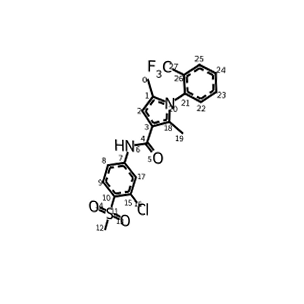 Cc1cc(C(=O)Nc2ccc(S(C)(=O)=O)c(Cl)c2)c(C)n1-c1ccccc1C(F)(F)F